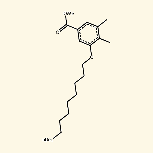 CCCCCCCCCCCCCCCCCCOc1cc(C(=O)OC)cc(C)c1C